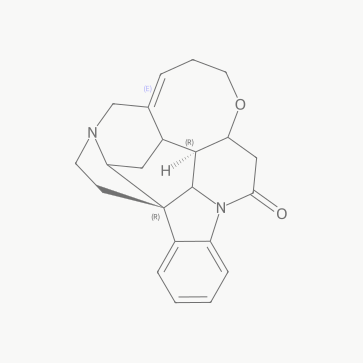 O=C1CC2OCC/C=C3/CN4CC[C@]56c7ccccc7N1C5[C@H]2C3CC46